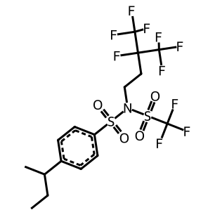 CCC(C)c1ccc(S(=O)(=O)N(CCC(F)(C(F)(F)F)C(F)(F)F)S(=O)(=O)C(F)(F)F)cc1